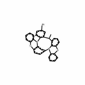 CC(C)c1cc(C(C)C)c2c(c1)C(C)c1cccc3c1N(c1ccc4c(c1)B2c1ccccc1O4)c1ccccc1S3